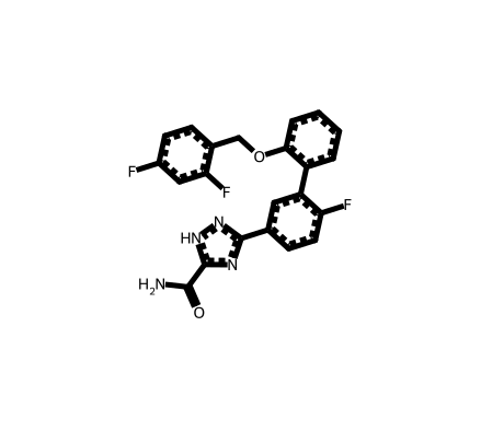 NC(=O)c1nc(-c2ccc(F)c(-c3ccccc3OCc3ccc(F)cc3F)c2)n[nH]1